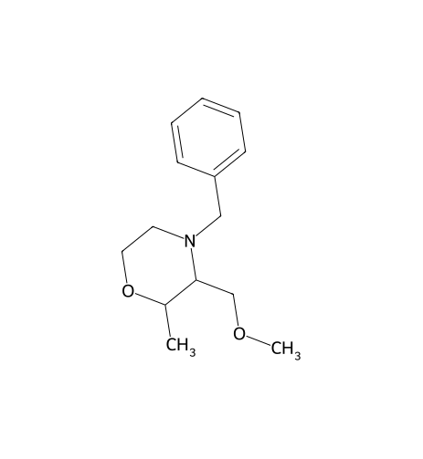 COCC1C(C)OCCN1Cc1ccccc1